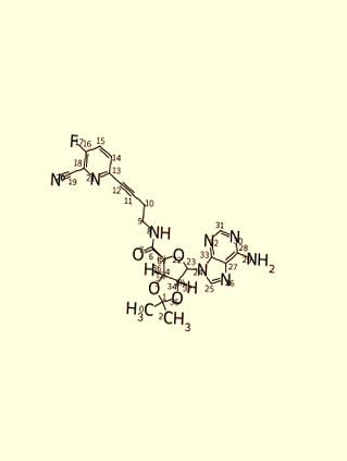 CC1(C)O[C@@H]2[C@@H](C(=O)NCCC#Cc3ccc(F)c(C#N)n3)OC(n3cnc4c(N)ncnc43)[C@@H]2O1